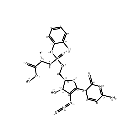 CC(C)OC(=O)[C@H](C)NP(=O)(OC[C@H]1OC(n2ccc(N)nc2=O)=C(N=[N+]=[N-])[C@@H]1O)Oc1ccccc1Cl